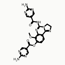 COc1c(OC(=O)c2cnc(N)nc2)ccc2c1N=C(NC(=O)c1cnc(N)nc1)N1CCN=C21